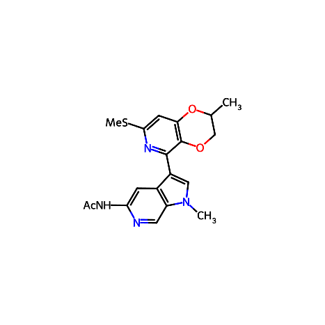 CSc1cc2c(c(-c3cn(C)c4cnc(NC(C)=O)cc34)n1)OCC(C)O2